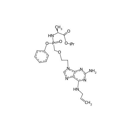 C=CCNc1nc(N)nc2c1ncn2CCOCP(=O)(N[C@@H](C)C(=O)OC(C)C)Oc1ccccc1